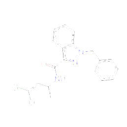 CC(C=C(Cl)Cl)NC(=O)c1nn(Cc2ccccc2)c2ccccc12